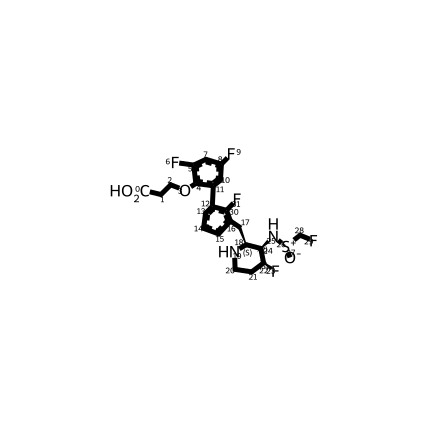 O=C(O)CCOc1c(F)cc(F)cc1-c1cccc(C[C@@H]2NCC[C@H](F)[C@@H]2N[S+]([O-])CF)c1F